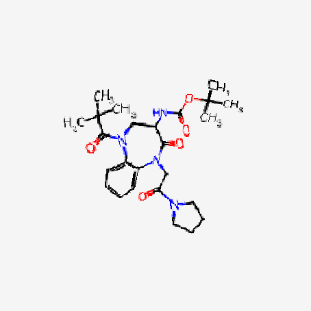 CC(C)(C)OC(=O)NC1CN(C(=O)C(C)(C)C)c2ccccc2N(CC(=O)N2CCCC2)C1=O